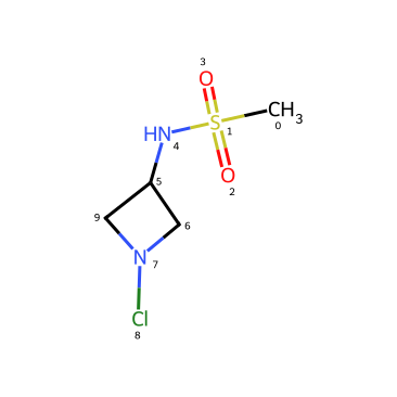 CS(=O)(=O)NC1CN(Cl)C1